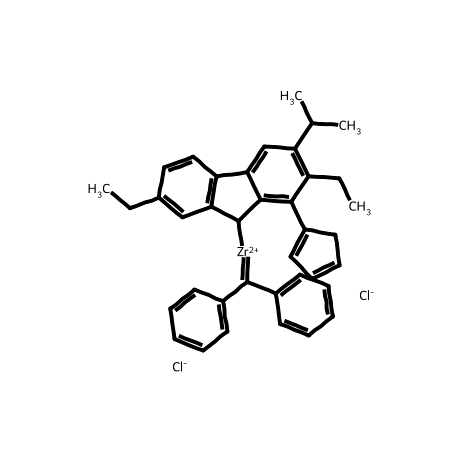 CCc1ccc2c(c1)[CH]([Zr+2]=[C](c1ccccc1)c1ccccc1)c1c-2cc(C(C)C)c(CC)c1C1=CC=CC1.[Cl-].[Cl-]